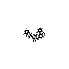 C=C(Oc1ccccc1C)C(=O)N1CC(=O)N(Cc2ccc(OC)cc2)C(CCc2ccccc2)C1